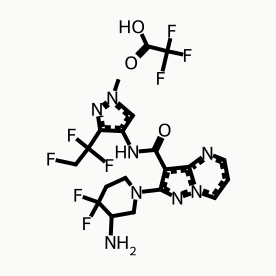 Cn1cc(NC(=O)c2c(N3CCC(F)(F)C(N)C3)nn3cccnc23)c(C(F)(F)CF)n1.O=C(O)C(F)(F)F